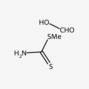 CSC(N)=S.O=CO